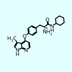 Cc1c[nH]c2nccc(Oc3ccc(C[C@@H](N)C(=O)NC4CCCCC4)cc3)c12